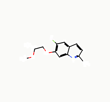 CO[C@H](C)COc1cc2nc(C)ccc2cc1F